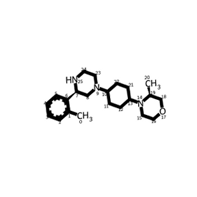 Cc1ccccc1[C@@H]1CN(C2CCC(N3CCOC[C@@H]3C)CC2)CCN1